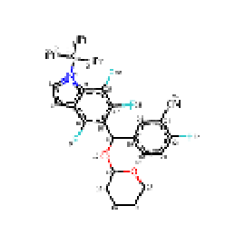 CC(C)[Si](C(C)C)(C(C)C)n1ccc2c(F)c(C(OC3CCCCO3)c3ccc(F)c(C#N)c3)c(F)c(F)c21